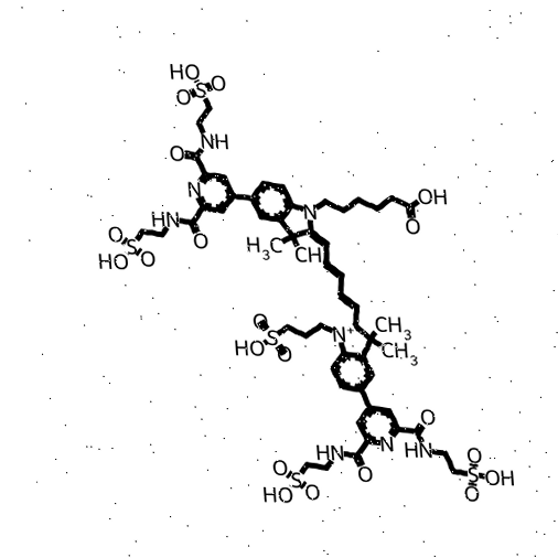 CC1(C)C(/C=C/C=C/C=C2/N(CCCCCC(=O)O)c3ccc(-c4cc(C(=O)NCCS(=O)(=O)O)nc(C(=O)NCCS(=O)(=O)O)c4)cc3C2(C)C)=[N+](CCCS(=O)(=O)O)c2ccc(-c3cc(C(=O)NCCS(=O)(=O)O)nc(C(=O)NCCS(=O)(=O)O)c3)cc21